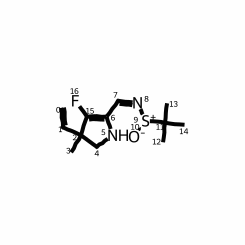 C=CC1(C)CNC(/C=N\[S@@+]([O-])C(C)(C)C)=C1F